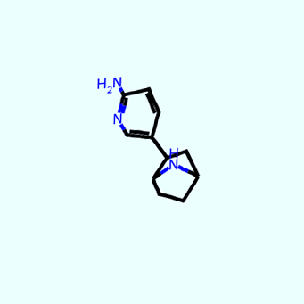 Nc1ccc(C2CC3CCC2N3)cn1